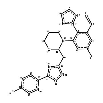 Cc1cc(C=O)c(-n2nccn2)c(N2CCCOC2Cc2noc(-c3ccc(F)cn3)n2)c1